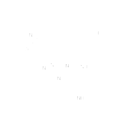 NC(=O)c1cccc2c1cnn2-c1nc2c(c(NCc3cccc(F)c3)n1)CCNCC2